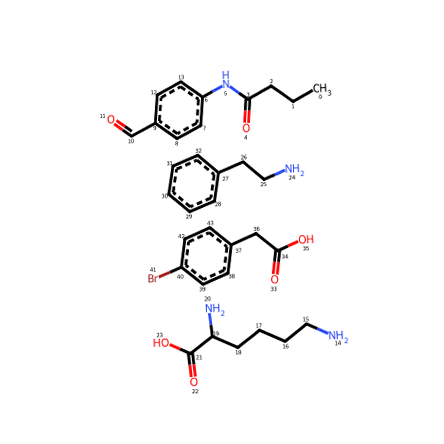 CCCC(=O)Nc1ccc(C=O)cc1.NCCCCC(N)C(=O)O.NCCc1ccccc1.O=C(O)Cc1ccc(Br)cc1